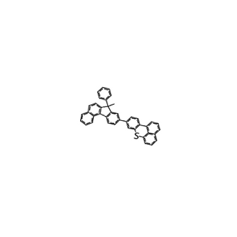 CC1(c2ccccc2)c2cc(-c3ccc4c(c3)Sc3cccc5cccc-4c35)ccc2-c2c1ccc1ccccc21